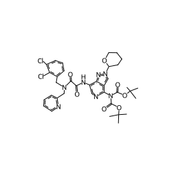 CC(C)(C)OC(=O)N(C(=O)OC(C)(C)C)c1ncc(NC(=O)C(=O)N(Cc2ccccn2)Cc2cccc(Cl)c2Cl)c2nn(C3CCCCO3)cc12